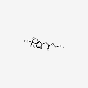 CCOC(=O)Cn1cc(C(C)(C)C)cn1